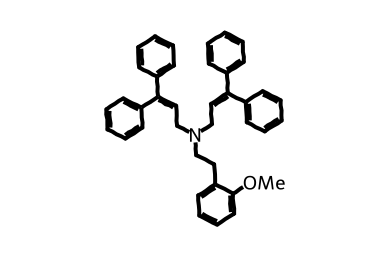 COc1ccccc1CCN(CC=C(c1ccccc1)c1ccccc1)CC=C(c1ccccc1)c1ccccc1